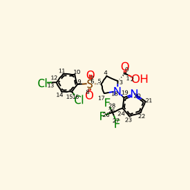 O=C(O)[C@H]1C[C@@H](S(=O)(=O)c2ccc(Cl)cc2Cl)CN1c1ncccc1C(F)(F)F